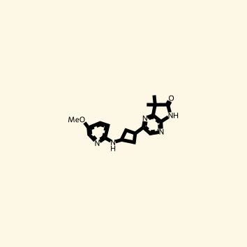 COc1ccc(NC2CC(c3cnc4c(n3)C(C)(C)C(=O)N4)C2)nc1